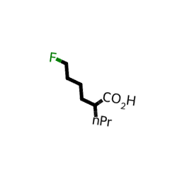 CCCC(CCCCF)C(=O)O